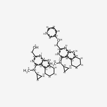 CN(c1nc(CO)nc2sc3c(c12)CCCC3)C1CC1.CN(c1nc(COc2cccnc2)nc2sc3c(c12)CCCC3)C1CC1